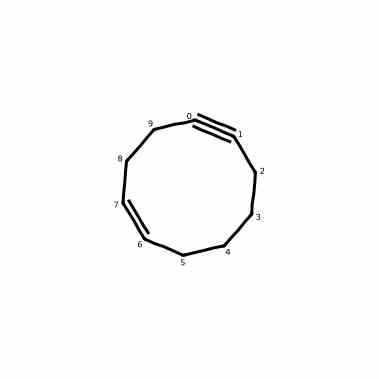 C1#CCCCC/C=C\CC1